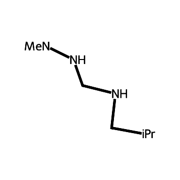 CNNCNCC(C)C